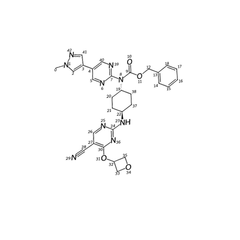 Cn1cc(-c2cnc(N(C(=O)OCc3ccccc3)[C@H]3CC[C@H](Nc4ncc(C#N)c(OC5COC5)n4)CC3)nc2)cn1